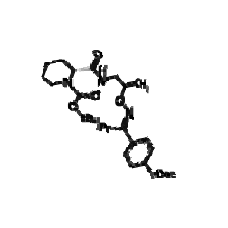 C=C(CNC(=O)[C@H]1CCCCN1C(=O)OC(C)(C)C)O/N=C(/c1ccc(CCCCCCCCCC)cc1)C(C)C